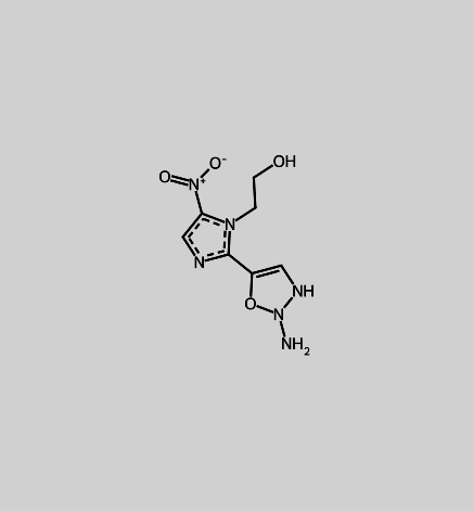 NN1NC=C(c2ncc([N+](=O)[O-])n2CCO)O1